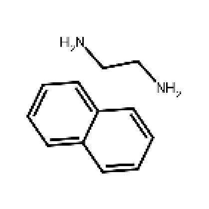 NCCN.c1ccc2ccccc2c1